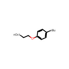 CCCCCCCCCCOc1ccc(CCCC)cc1